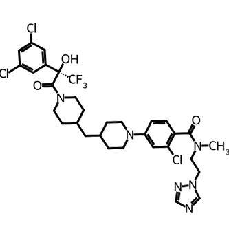 CN(CCn1cncn1)C(=O)c1ccc(N2CCC(CC3CCN(C(=O)[C@](O)(c4cc(Cl)cc(Cl)c4)C(F)(F)F)CC3)CC2)cc1Cl